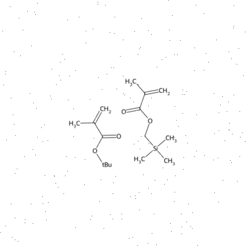 C=C(C)C(=O)OC(C)(C)C.C=C(C)C(=O)OC[Si](C)(C)C